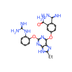 CCc1nc2c(Oc3ccc(C(=N)N)c(C(N)=O)c3)nc(Oc3ccccc3NC(=N)N)nc2[nH]1